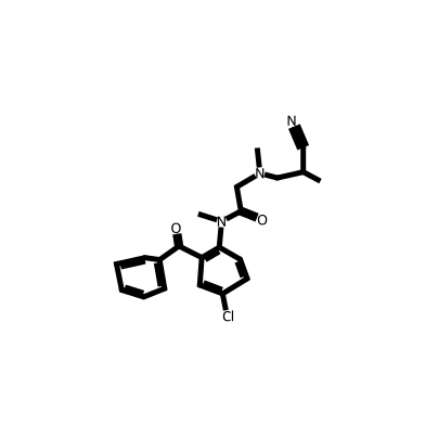 CC(C#N)CN(C)CC(=O)N(C)c1ccc(Cl)cc1C(=O)c1ccccc1